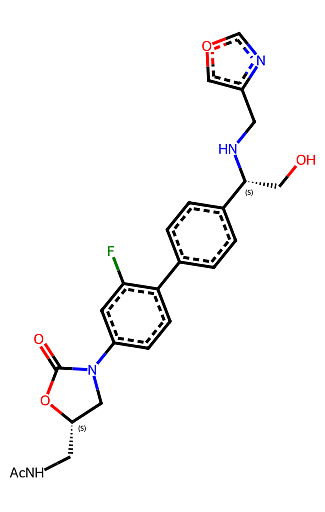 CC(=O)NC[C@H]1CN(c2ccc(-c3ccc([C@@H](CO)NCc4cocn4)cc3)c(F)c2)C(=O)O1